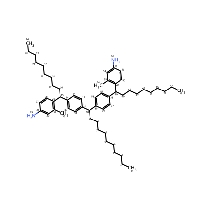 CCCCCCCCCCC(c1ccc(C(CCCCCCCCC)c2ccc(N)cc2C)cc1)c1ccc(C(CCCCCCCCC)c2ccc(N)cc2C)cc1